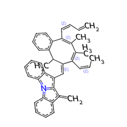 C=C\C=C/C1=C(C)/C(C)=C(/C=C\C)C(=C\c2c3ccccc3n3c2c(=C)c2ccccc23)\C(C)c2ccccc21